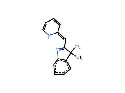 CC1(C)C(/C=C2/C=CC=CN2)=Nc2ccccc21